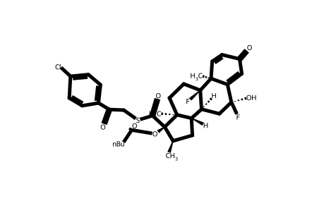 CCCCC(=O)O[C@]1(C(=O)SCC(=O)c2ccc(Cl)cc2)[C@H](C)C[C@H]2[C@@H]3C[C@](O)(F)C4=CC(=O)C=C[C@]4(C)[C@@]3(F)CC[C@@]21C